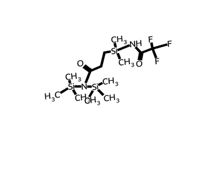 C[Si](C)(CCC(=O)N([Si](C)(C)C)[Si](C)(C)C)NC(=O)C(F)(F)F